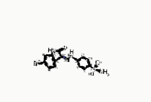 NS(=O)(=O)c1ccc(N/N=C2\C(=O)Nc3cc(Br)ccc32)cc1